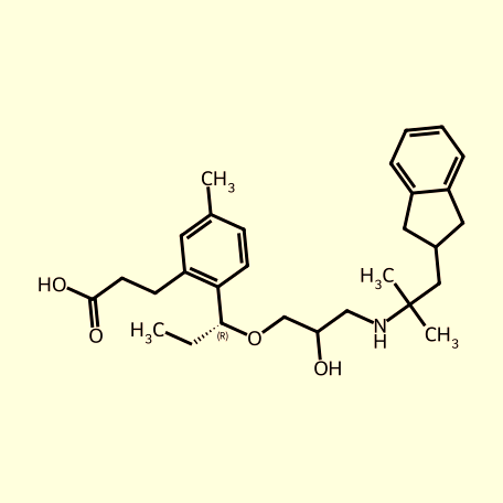 CC[C@@H](OCC(O)CNC(C)(C)CC1Cc2ccccc2C1)c1ccc(C)cc1CCC(=O)O